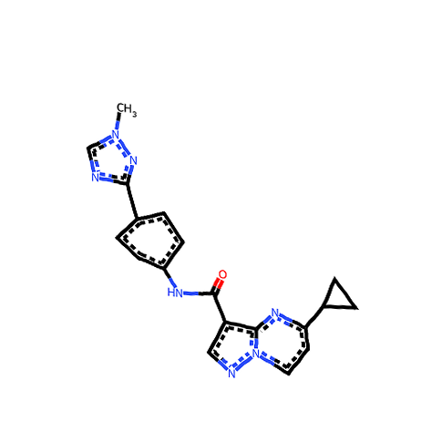 Cn1cnc(-c2ccc(NC(=O)c3cnn4ccc(C5CC5)nc34)cc2)n1